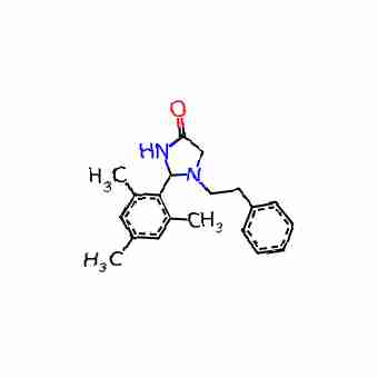 Cc1cc(C)c(C2NC(=O)CN2CCc2ccccc2)c(C)c1